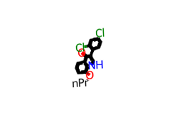 CCCOc1cccc2c(=O)c(-c3ccc(Cl)cc3Cl)c[nH]c12